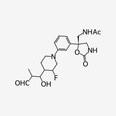 CC(=O)NC[C@@]1(c2cccc(N3CCC(C(O)C(C)C=O)C(F)C3)c2)CNC(=O)O1